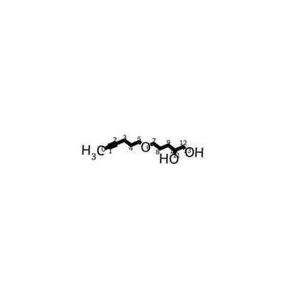 CC#CCCCOCCCC(O)CO